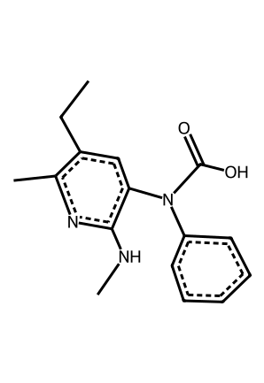 CCc1cc(N(C(=O)O)c2ccccc2)c(NC)nc1C